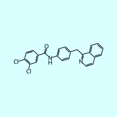 O=C(Nc1ccc(Cc2nccc3ccccc23)cc1)c1ccc(Cl)c(Cl)c1